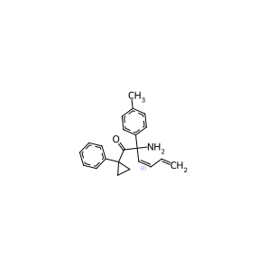 C=C/C=C\C(N)(C(=O)C1(c2ccccc2)CC1)c1ccc(C)cc1